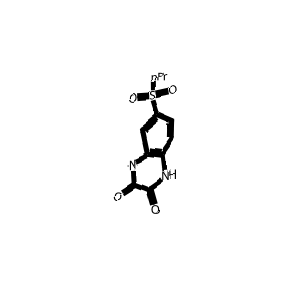 CCCS(=O)(=O)c1ccc2c(c1)[N]C(=O)C(=O)N2